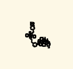 CCc1ccc(/C=C2\SC(=O)N(CCCc3cccc(B4OC(C)(C)C(C)(C)O4)c3)C2=O)cc1